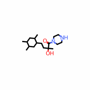 CC1CC(C)C(CCC(C)(O)C(=O)N2CCNCC2)CC1C